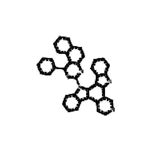 c1ccc(-c2nc(-n3c4ccccc4c4c5ccncc5c5sc6ccccc6c5c43)nc3ccc4ccccc4c23)cc1